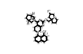 FC1CN2CCCC2(COc2nc3c(c(N4C[C@H]5CC[C@@H](C4)N5)n2)CCN(c2cccc4cccc(C(F)(F)F)c24)C3)C1